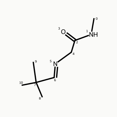 CNC(=O)CN=CC(C)(C)C